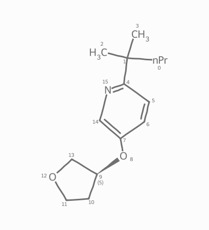 CCCC(C)(C)c1ccc(O[C@H]2CCOC2)cn1